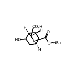 CC(C)(C)OC(=O)N1[C@H]2CC[C@H](C(O)C2)[C@@H]1C(=O)O